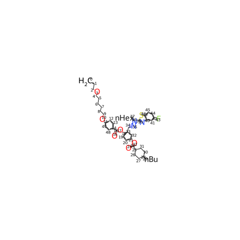 C=CCOCCCCCCOc1ccc(C(=O)Oc2ccc(OC(=O)C3CCC(CCCC)CC3)cc2/C=N/N(CCCCCC)c2nc3cc(F)ccc3s2)cc1